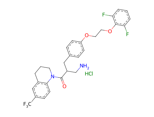 Cl.NCC(Cc1ccc(OCCOc2c(F)cccc2F)cc1)C(=O)N1CCCc2cc(C(F)(F)F)ccc21